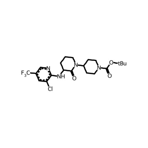 CC(C)(C)OC(=O)N1CCC(N2CCCC(Nc3ncc(C(F)(F)F)cc3Cl)C2=O)CC1